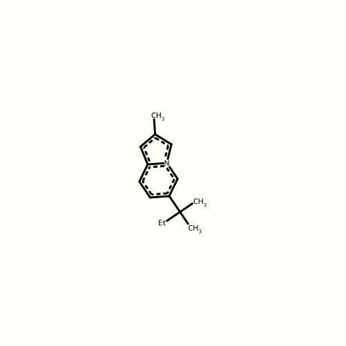 CCC(C)(C)c1ccc2cc(C)cn2c1